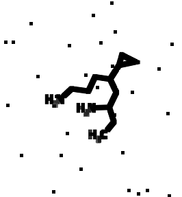 CCC(N)CC(CCCN)C1CC1